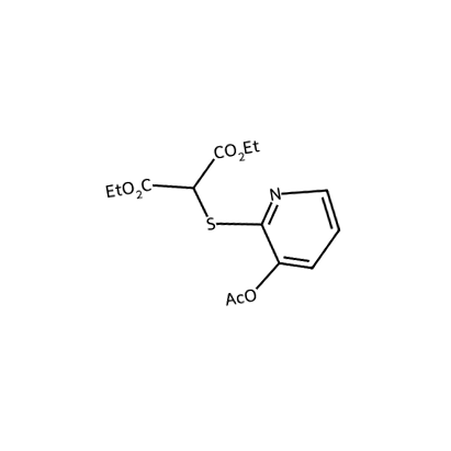 CCOC(=O)C(Sc1ncccc1OC(C)=O)C(=O)OCC